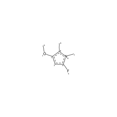 COc1cc(F)n(C)c1C